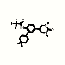 CN1CC(c2ccc(NC(=O)C(F)(F)F)c(C3=CCC(C)(C)CC3)c2)CN(C)C1=O